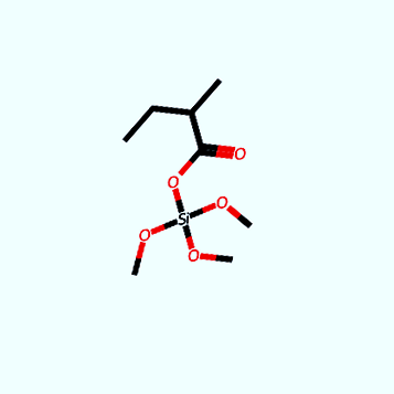 CCC(C)C(=O)O[Si](OC)(OC)OC